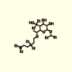 CCC(CC)OC1OC(C(C)OCC[N+](CC)(CC)CCN(CC)CC)C(C(O)(CC)CC)C(O)C1O